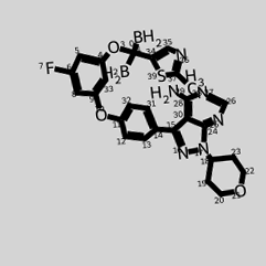 BC(B)(Oc1cc(F)cc(Oc2ccc(-c3nn(C4CCOCC4)c4ncnc(N)c34)cc2)c1)c1cnc(C)s1